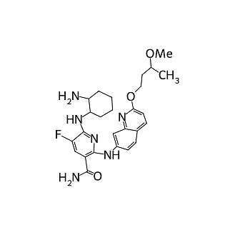 COC(C)CCOc1ccc2ccc(Nc3nc(NC4CCCCC4N)c(F)cc3C(N)=O)cc2n1